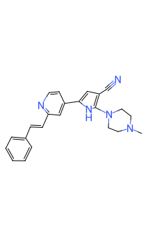 CN1CCN(c2[nH]c(-c3ccnc(C=Cc4ccccc4)c3)cc2C#N)CC1